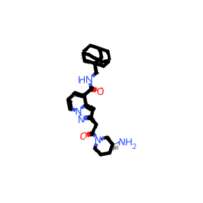 N[C@@H]1CCCN(C(=O)Cc2cc3c(C(=O)NCC45CC6CC(CC(C6)C4)C5)cccn3n2)C1